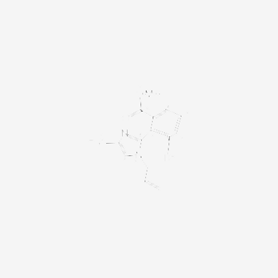 C=CCn1cc(C(F)(F)F)nc1-c1c(Br)cccc1C(=O)OC